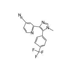 Cn1cnc(-c2cc(C#N)ccn2)c1-c1ccc(C(F)(F)F)cc1